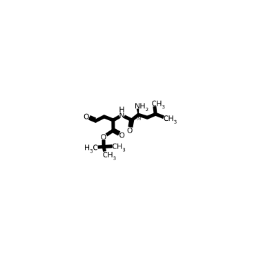 CC(C)C[C@H](N)C(=O)NC(CC=O)C(=O)OC(C)(C)C